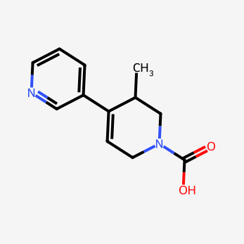 CC1CN(C(=O)O)CC=C1c1cccnc1